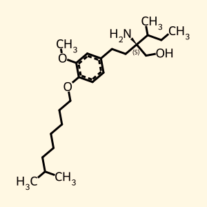 CCC(C)[C@](N)(CO)CCc1ccc(OCCCCCCC(C)C)c(OC)c1